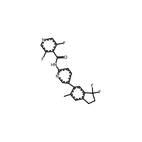 Cc1cc2c(cc1-c1ccc(NC(=O)c3c(F)cncc3F)nc1)C(F)(F)CC2